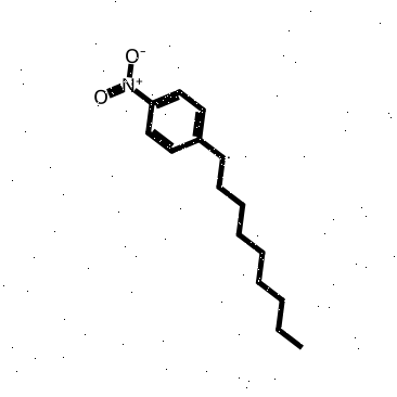 CCCCCCCC[CH]c1ccc([N+](=O)[O-])cc1